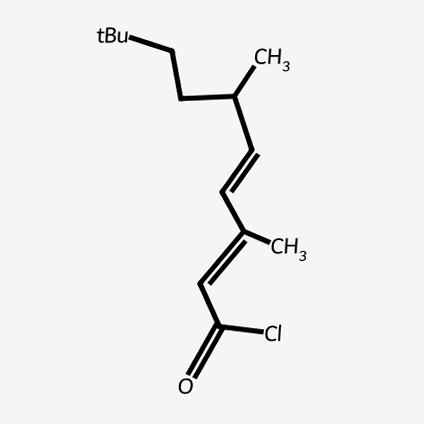 CC(/C=C/C(C)CCC(C)(C)C)=C\C(=O)Cl